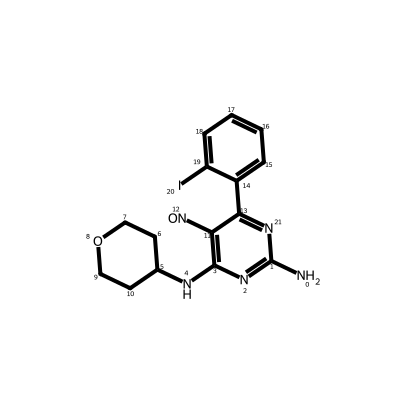 Nc1nc(NC2CCOCC2)c(N=O)c(-c2ccccc2I)n1